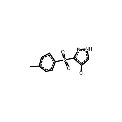 Cc1ccc(S(=O)(=O)c2n[nH]cc2Cl)cc1